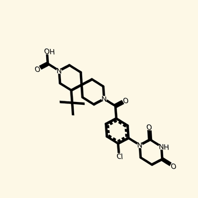 CC(C)(C)C1CN(C(=O)O)CCC12CCN(C(=O)c1ccc(Cl)c(N3CCC(=O)NC3=O)c1)CC2